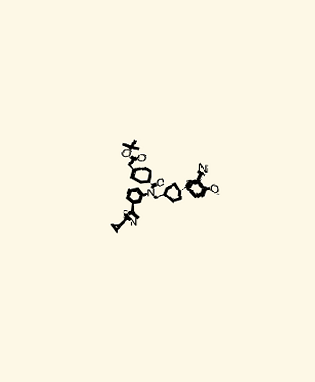 COc1ccc([C@H]2CC[C@H](CN(c3cccc(-c4cnc(C5CC5)s4)c3)C(=O)[C@H]3CC[C@H](CC(=O)OC(C)(C)C)CC3)CC2)cc1C#N